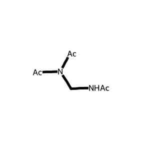 CC(=O)NCN(C(C)=O)C(C)=O